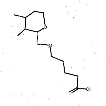 CC1CCO[C@H](COCCCCC(=O)O)C1C